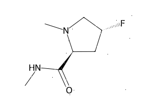 CNC(=O)[C@@H]1C[C@@H](F)CN1C